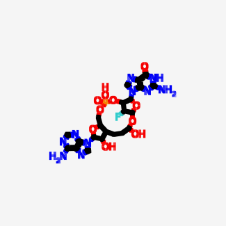 Nc1nc2c(ncn2C2OC3OC(O)CCC4C(COP(=O)(O)OC2C3F)OC(n2cnc3c(N)ncnc32)C4O)c(=O)[nH]1